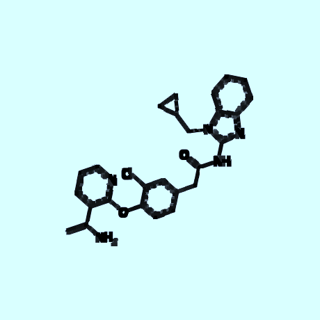 C=C(N)c1cccnc1Oc1ccc(CC(=O)Nc2nc3ccccc3n2CC2CC2)cc1Cl